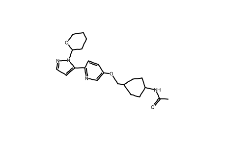 CC(=O)NC1CCC(COc2ccc(-c3ccnn3C3CCCCO3)nc2)CC1